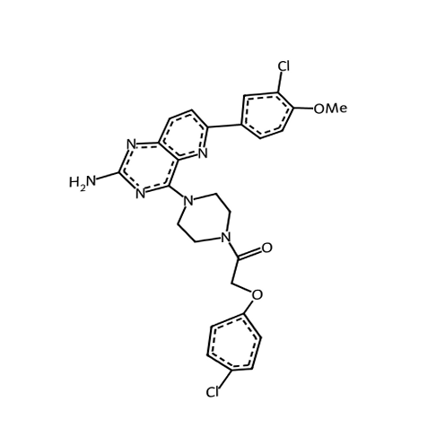 COc1ccc(-c2ccc3nc(N)nc(N4CCN(C(=O)COc5ccc(Cl)cc5)CC4)c3n2)cc1Cl